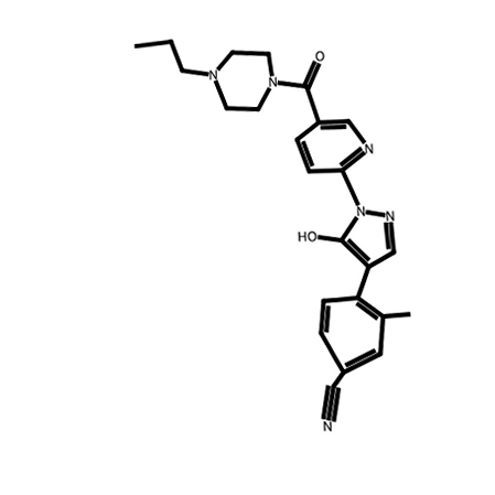 CCCN1CCN(C(=O)c2ccc(-n3ncc(-c4ccc(C#N)cc4C)c3O)nc2)CC1